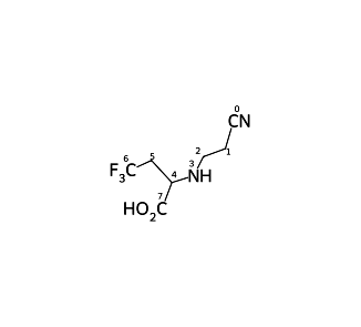 N#CCCNC(CC(F)(F)F)C(=O)O